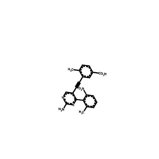 Cc1ccc(C(=O)O)cc1C#Cc1cnc(N)nc1-c1c(C)cccc1[N+](=O)[O-]